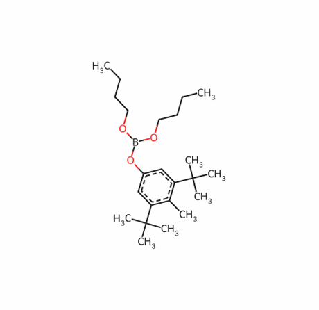 CCCCOB(OCCCC)Oc1cc(C(C)(C)C)c(C)c(C(C)(C)C)c1